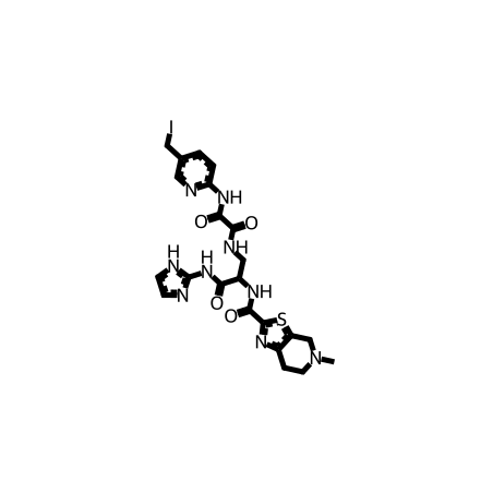 CN1CCc2nc(C(=O)NC(CNC(=O)C(=O)Nc3ccc(CI)cn3)C(=O)Nc3ncc[nH]3)sc2C1